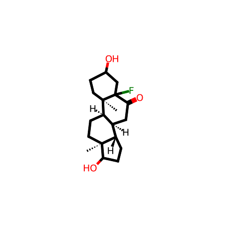 C[C@]12CC[C@@H]3[C@@H](CC(=O)C4(F)CC(O)CC[C@]34C)[C@@H]1CCC2O